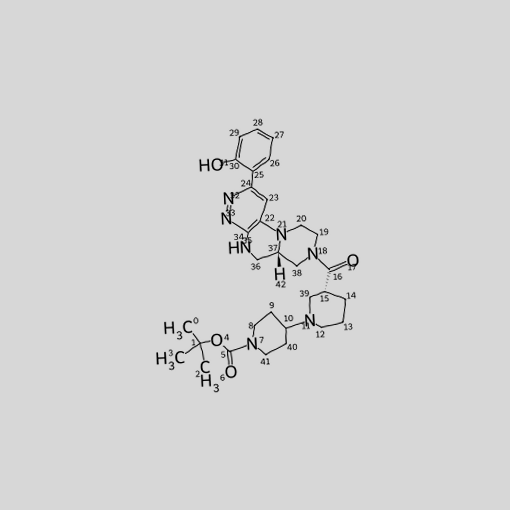 CC(C)(C)OC(=O)N1CCC(N2CCC[C@@H](C(=O)N3CCN4c5cc(-c6ccccc6O)nnc5NC[C@H]4C3)C2)CC1